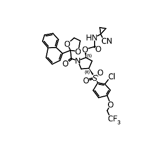 N#CC1(NC(=O)O[C@H]2C[C@@H](S(=O)(=O)c3ccc(OCC(F)(F)F)cc3Cl)CN2C(=O)C2(c3cccc4ccccc34)OCCO2)CC1